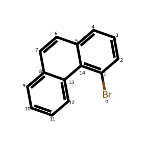 Brc1cccc2ccc3ccccc3c12